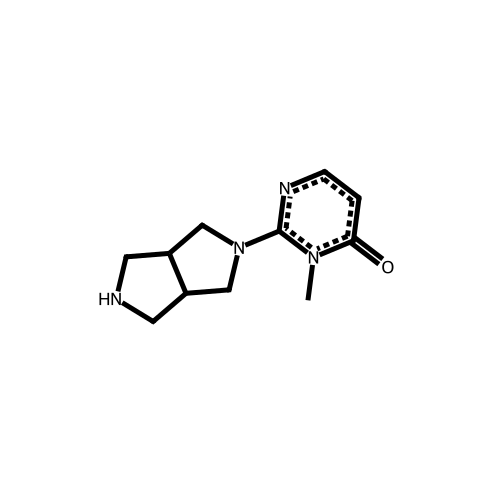 Cn1c(N2CC3CNCC3C2)nccc1=O